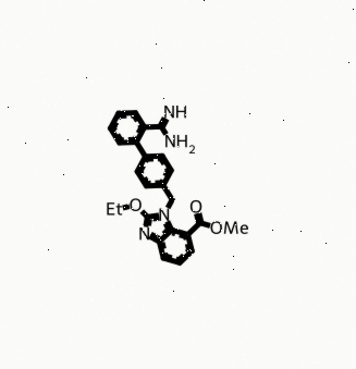 CCOc1nc2cccc(C(=O)OC)c2n1Cc1ccc(-c2ccccc2C(=N)N)cc1